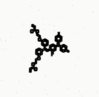 C=CC(=O)OCCOc1cccc(C(=Cc2ccc(N(c3ccc(C)cc3)c3ccc(C)cc3)cc2F)c2cccc(OCCOC(=O)C=C)c2)c1